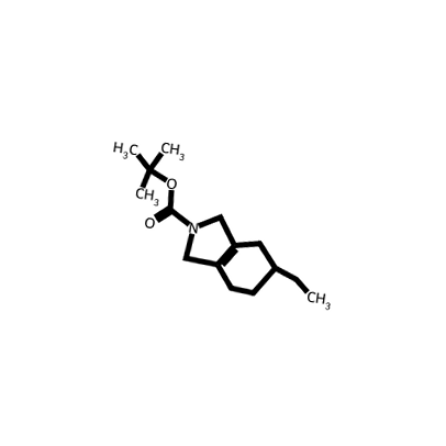 CCC1CCC2=C(C1)CN(C(=O)OC(C)(C)C)C2